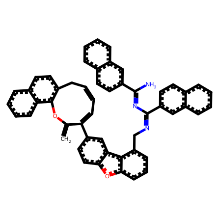 C=C1Oc2c(ccc3ccccc23)C/C=C\C=C/1c1ccc2oc3cccc(C/N=C(\N=C(/N)c4ccc5ccccc5c4)c4ccc5ccccc5c4)c3c2c1